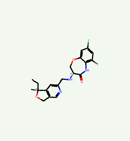 CC[C@@]1(C)OCc2cnc(CN[C@H]3COc4cc(F)cc(F)c4NC3=O)cc21